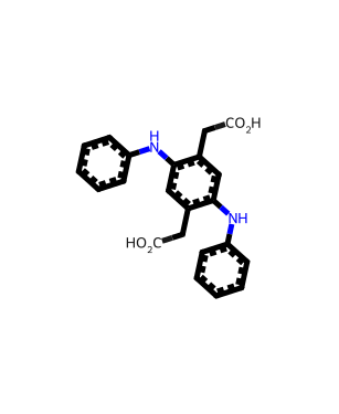 O=C(O)Cc1cc(Nc2ccccc2)c(CC(=O)O)cc1Nc1ccccc1